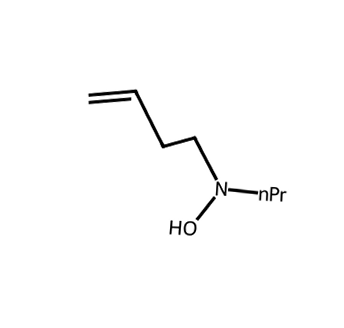 C=CCCN(O)CCC